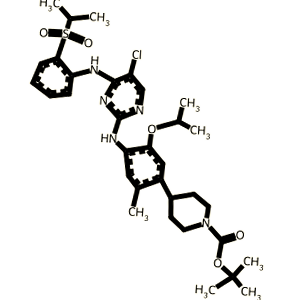 Cc1cc(Nc2ncc(Cl)c(Nc3ccccc3S(=O)(=O)C(C)C)n2)c(OC(C)C)cc1C1CCN(C(=O)OC(C)(C)C)CC1